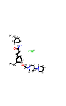 COc1cc(/C=C/C(=O)N[C@H]2CC[C@H](C)CC2)ccc1OCCN1CCC(N2CCCCC2)CC1.Cl